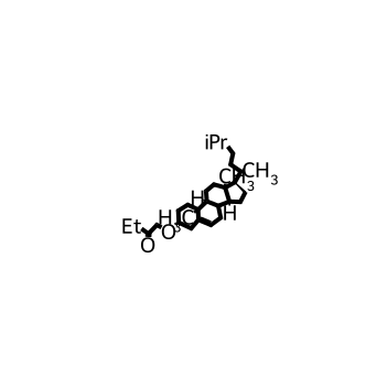 CCC(=O)CO[C@H]1CC[C@@]2(C)C(=CCC3[C@@H]4CC[C@H]([C@H](C)CCC(C)C)[C@@]4(C)CC[C@@H]32)C1